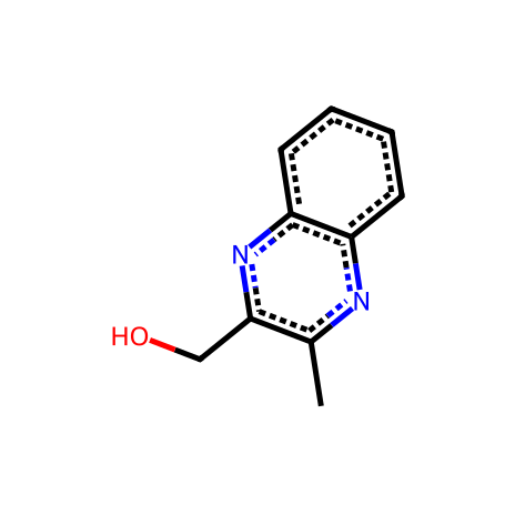 Cc1nc2ccccc2nc1CO